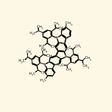 Cc1ccc2c(c1)B(c1c(C(C)C)cc(C(C)C)cc1C(C)C)c1cc3c(cc1-2)B(c1c(C(C)C)cc(C(C)C)cc1C(C)C)c1cc2c(cc1-3)B(c1c(C(C)C)cc(C(C)C)cc1C(C)C)c1cc(C)ccc1-2